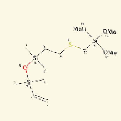 C=C[Si](C)(C)O[Si](C)(C)CCSC[Si](OC)(OC)OC